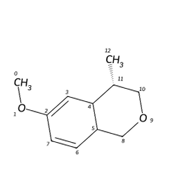 COC1=CC2C(C=C1)COC[C@H]2C